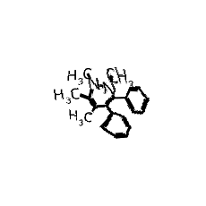 CC1=C(C)N(C)N(C)C(c2ccccc2)=C1c1ccccc1